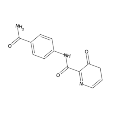 NC(=O)c1ccc(NC(=O)C2=NC=CCC2=O)cc1